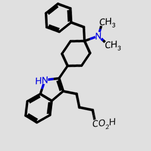 CN(C)C1(Cc2ccccc2)CCC(c2[nH]c3ccccc3c2CCCC(=O)O)CC1